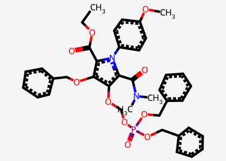 CCOC(=O)c1c(OCc2ccccc2)c(OCOP(=O)(OCc2ccccc2)OCc2ccccc2)c(C(=O)N(C)C)n1-c1ccc(OC)cc1